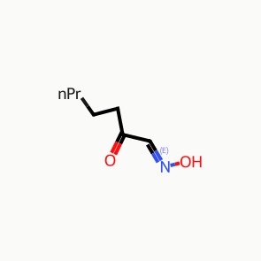 CCCCCC(=O)/C=N/O